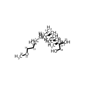 C=C.C=C.C=C.C=C.C=C.C=C.CCCOC.OCCO